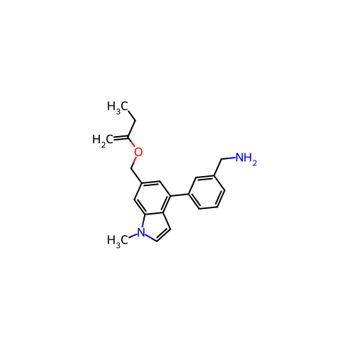 C=C(CC)OCc1cc(-c2cccc(CN)c2)c2ccn(C)c2c1